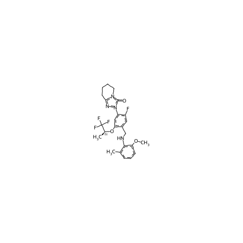 COc1cccc(C)c1NCc1cc(F)c(-n2nc3n(c2=O)CCCC3)cc1O[C@@H](C)C(F)(F)F